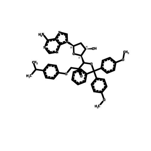 COc1ccc(C(OC(C(=O)COc2ccc(C(C)C)cc2)[C@H]2O[C@@H](n3cnc4c(N)ncnc43)C[C@@H]2O)(c2ccccc2)c2ccc(OC)cc2)cc1